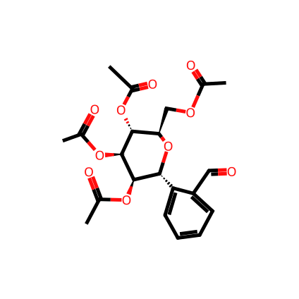 CC(=O)OC[C@H]1O[C@H](c2ccccc2C=O)[C@@H](OC(C)=O)[C@@H](OC(C)=O)[C@@H]1OC(C)=O